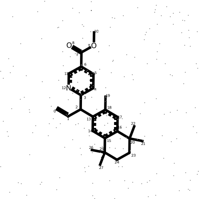 C=CC(c1ccc(C(=O)OC)cn1)c1cc2c(cc1C)C(C)(C)CCC2(C)C